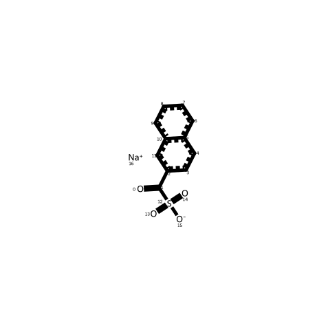 O=C(c1ccc2ccccc2c1)S(=O)(=O)[O-].[Na+]